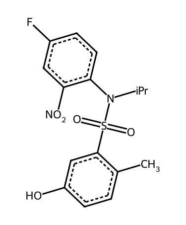 Cc1ccc(O)cc1S(=O)(=O)N(c1ccc(F)cc1[N+](=O)[O-])C(C)C